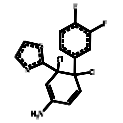 NC1=CC(Cl)(c2nccs2)C(Cl)(c2ccc(F)c(F)c2)C=C1